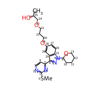 CSc1nccc(-c2nn(C3CCCCO3)c3ccc(OCCCOCC(C)O)cc23)n1